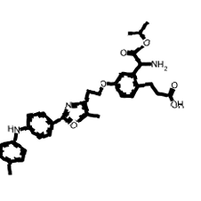 Cc1ccc(Nc2ccc(-c3nc(CCOc4ccc(CCC(=O)O)c(C(N)C(=O)OC(C)C)c4)c(C)o3)cc2)cc1